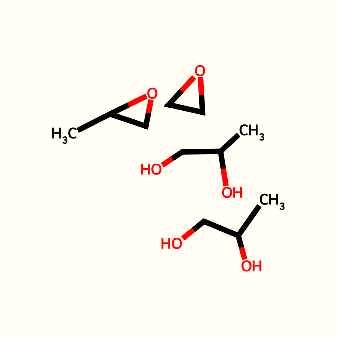 C1CO1.CC(O)CO.CC(O)CO.CC1CO1